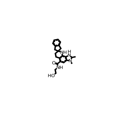 CC1Nc2c(cc(C(=O)NCCO)c3c2NC2(CC3)Cc3ccccc3C2)N1C